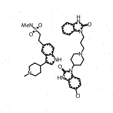 CNS(=O)(=O)CCc1ccc2[nH]cc(C3CCN(C)CC3)c2c1.O=c1[nH]c2ccccc2n1CCCN1CCC(n2c(=O)[nH]c3cc(Cl)ccc32)CC1